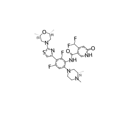 C[C@@H]1CN(c2nc(-c3c(F)cc(N4CCN(C)[C@@H](C)C4)c(NC(=O)c4c[nH]c(=O)cc4C(F)F)c3F)cs2)C[C@H](C)O1